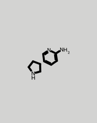 C1CCNC1.Nc1ccccn1